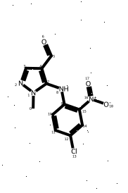 Cn1ncc(C=O)c1Nc1ccc(Cl)cc1[N+](=O)[O-]